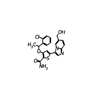 CC(Oc1cc(-c2cnc3ccc(CO)cn23)sc1C(N)=O)c1ccccc1Cl